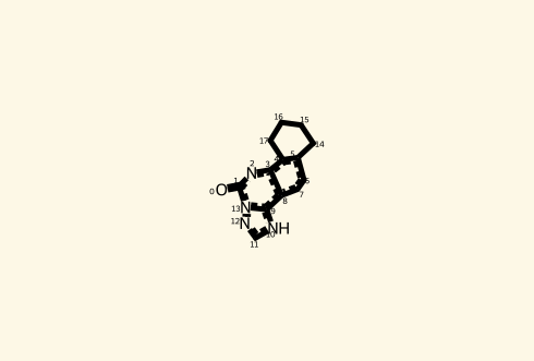 O=c1nc2c3c(ccc2c2[nH]cnn12)CCCC3